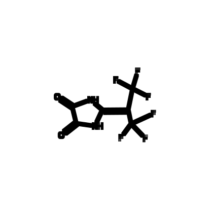 O=C1NC(=C(C(F)(F)F)C(F)(F)F)NC1=O